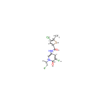 CC(CF)n1cc(NC(=O)c2cc(Cl)c(C(F)(F)F)s2)cc(F)c1=O